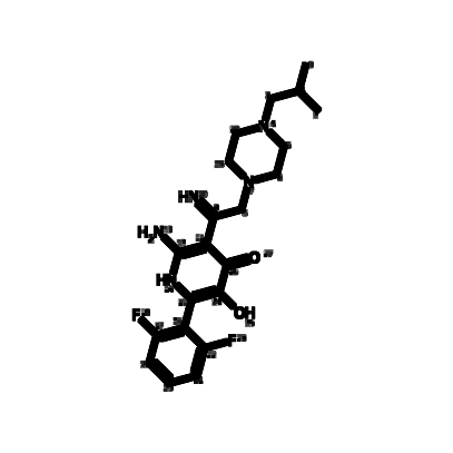 CC(C)CN1CCN(CC(=N)c2c(N)[nH]c(-c3c(F)cccc3F)c(O)c2=O)CC1